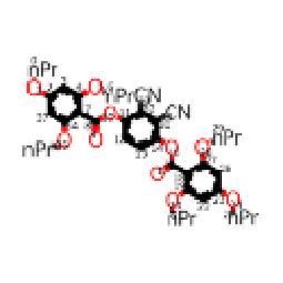 CCCOc1cc(OCCC)c(C(=O)Oc2ccc(OC(=O)c3c(OCCC)cc(OCCC)cc3OCCC)c(C#N)c2C#N)c(OCCC)c1